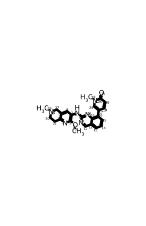 COc1nc2c(cc1Nc1ncc3cccc(-c4ccc(=O)n(C)c4)c3n1)CN(C)CC2